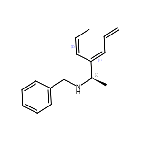 C=C/C=C(\C=C/C)[C@@H](C)NCc1ccccc1